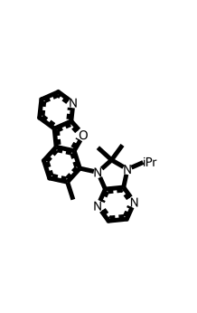 Cc1ccc2c(oc3ncccc32)c1N1c2nccnc2N(C(C)C)C1(C)C